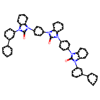 O=c1n(-c2ccc(-n3c(=O)n(-c4cccc(-c5ccccc5)c4)c4ccccc43)cc2)c2ccccc2n1-c1ccc(-n2c(=O)n(-c3cccc(-c4ccccc4)c3)c3ccccc32)cc1